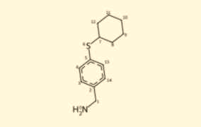 NCc1ccc(SC2CCCCC2)cc1